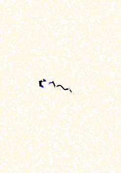 CCCCCCCCCCCn1cccn1